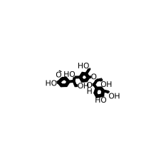 COc1cc(C(CO)C(O)c2ccc(OC(CO)C(O)c3ccc(O)c(CO)c3)c(CO)c2)ccc1O